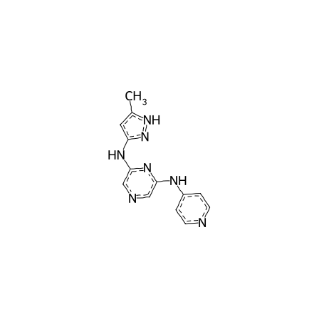 Cc1cc(Nc2cncc(Nc3ccncc3)n2)n[nH]1